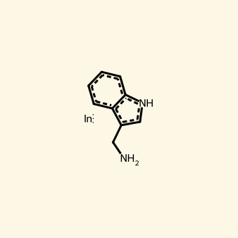 NCc1c[nH]c2ccccc12.[In]